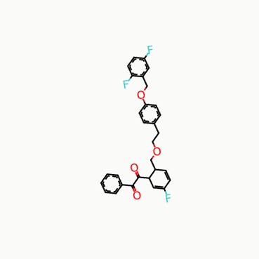 O=C(C(=O)C1C=C(F)C=CC1COCCc1ccc(OCc2cc(F)ccc2F)cc1)c1ccccc1